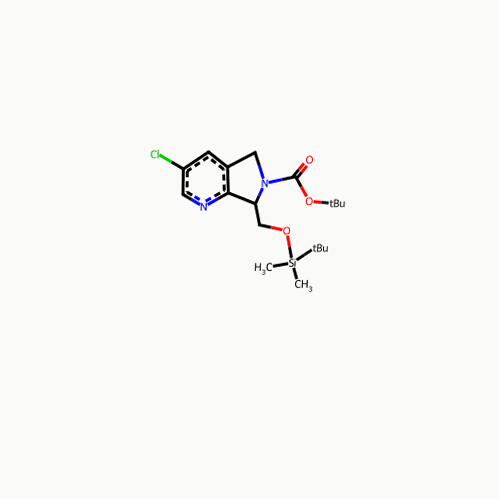 CC(C)(C)OC(=O)N1Cc2cc(Cl)cnc2C1CO[Si](C)(C)C(C)(C)C